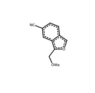 COCc1occ2ccc(C#N)cc12